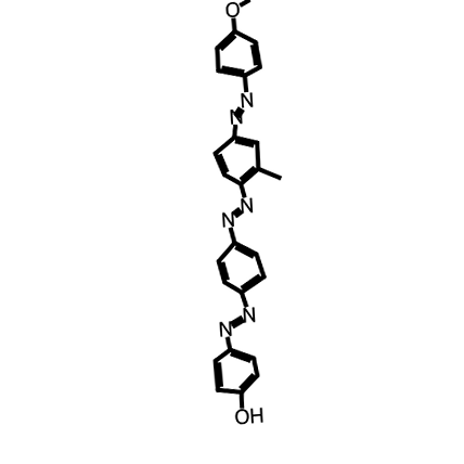 COc1ccc(N=Nc2ccc(N=Nc3ccc(N=Nc4ccc(O)cc4)cc3)c(C)c2)cc1